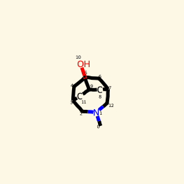 CN1CC2CCCC(CC(O)C2)C1